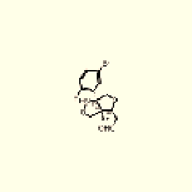 CC(=O)[C@@]12CON[C@@]1(c1cc(Br)ccc1F)CO[C@H]2CC=O